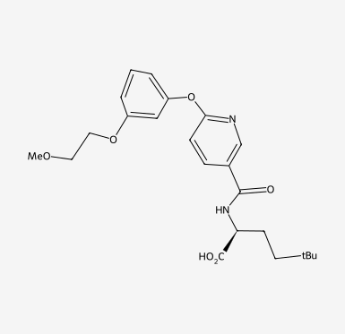 COCCOc1cccc(Oc2ccc(C(=O)N[C@@H](CCC(C)(C)C)C(=O)O)cn2)c1